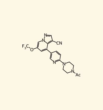 CC(=O)N1CCN(c2ccc(-c3cc(OC(F)(F)F)cn4ncc(C#N)c34)cn2)CC1